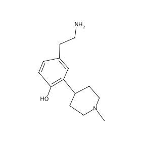 CN1CCC(c2cc(CCN)ccc2O)CC1